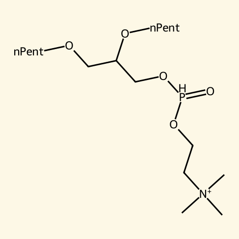 CCCCCOCC(CO[PH](=O)OCC[N+](C)(C)C)OCCCCC